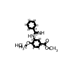 COC(=O)c1ccc(OC)c(NC(=N)c2ccccc2)c1.Cl